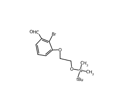 CC(C)(C)[Si](C)(C)OCCOc1cccc(C=O)c1Br